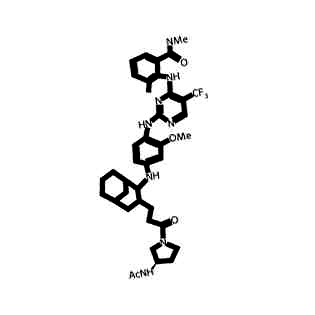 CNC(=O)c1cccc(C)c1Nc1nc(Nc2ccc(NC3C4CCCC(C4)CC3CCC(=O)N3CC[C@H](NC(C)=O)C3)cc2OC)ncc1C(F)(F)F